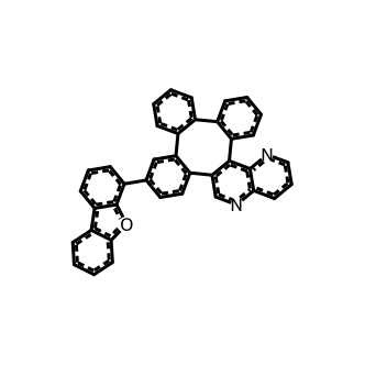 c1ccc2c(c1)-c1cc(-c3cccc4c3oc3ccccc34)ccc1-c1cnc3cccnc3c1-c1ccccc1-2